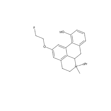 CCC[N+]1(C)CCc2cc(OCCF)cc3c2C1Cc1cccc(O)c1-3